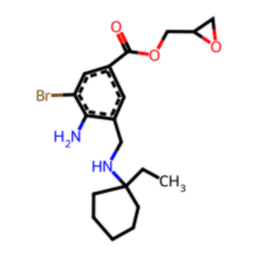 CCC1(NCc2cc(C(=O)OCC3CO3)cc(Br)c2N)CCCCC1